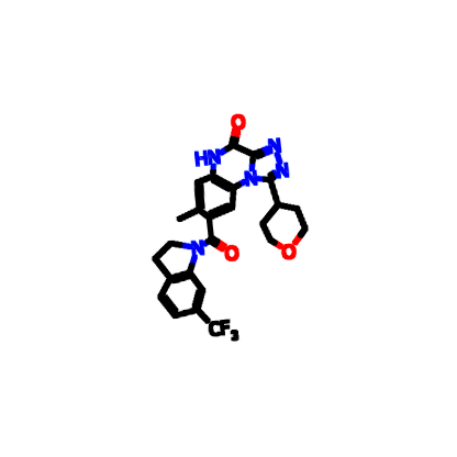 Cc1cc2[nH]c(=O)c3nnc(C4CCOCC4)n3c2cc1C(=O)N1CCc2ccc(C(F)(F)F)cc21